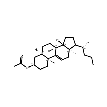 CCC[C@@H](C)C1CC[C@H]2[C@@H]3CC[C@@H]4C[C@H](OC(C)=O)CC[C@]4(C)C3=CC[C@]12C